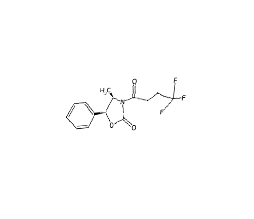 C[C@@H]1[C@H](c2ccccc2)OC(=O)N1C(=O)CCC(F)(F)F